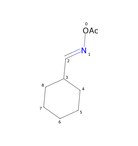 CC(=O)O/N=C/C1CCCCC1